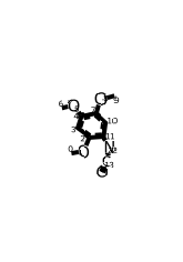 COc1cc(OC)c(OC)cc1N=C=O